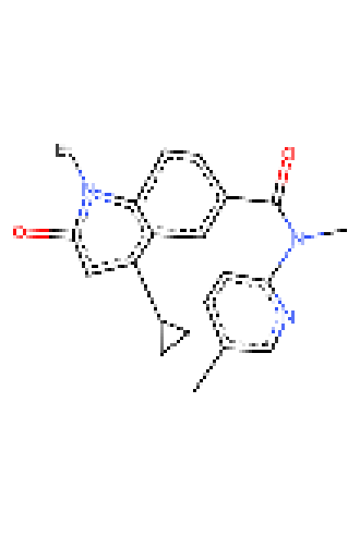 CCn1c(=O)cc(C2CC2)c2cc(C(=O)N(C)c3ccc(C)cn3)ccc21